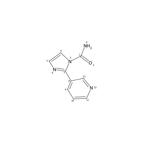 NC(=O)n1ccnc1-c1cccnc1